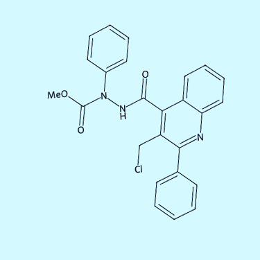 COC(=O)N(NC(=O)c1c(CCl)c(-c2ccccc2)nc2ccccc12)c1ccccc1